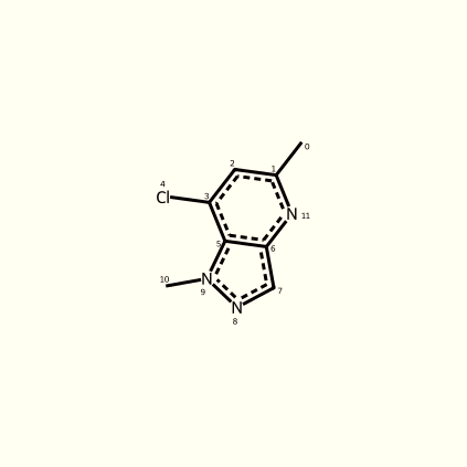 Cc1cc(Cl)c2c(cnn2C)n1